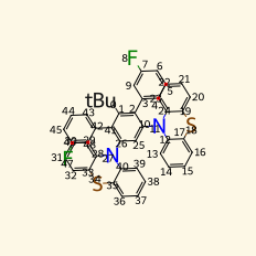 CC(C)(C)c1c(-c2cccc(F)c2)c(N2c3ccccc3Sc3ccccc32)cc(N2c3ccccc3Sc3ccccc32)c1-c1cccc(F)c1